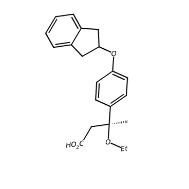 CCO[C@@](C)(CC(=O)O)c1ccc(OC2Cc3ccccc3C2)cc1